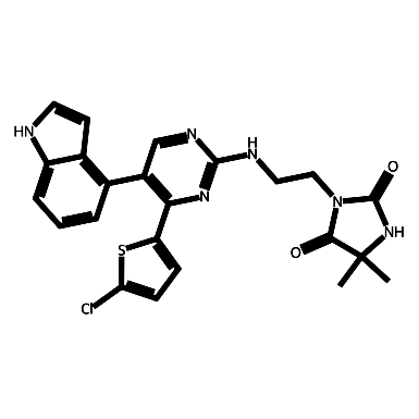 CC1(C)NC(=O)N(CCNc2ncc(-c3cccc4[nH]ccc34)c(-c3ccc(Cl)s3)n2)C1=O